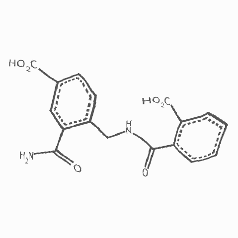 NC(=O)c1cc(C(=O)O)ccc1CNC(=O)c1ccccc1C(=O)O